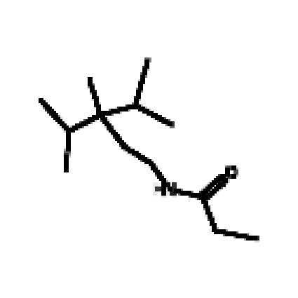 C[CH]C(=O)NCCC(C)(C(C)C)C(C)C